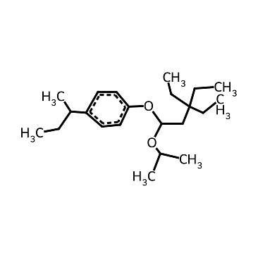 CCC(C)c1ccc(OC(CC(CC)(CC)CC)OC(C)C)cc1